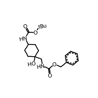 CC(C)(C)OC(=O)NC1CCC(O)(CNC(=O)OCc2ccccc2)CC1